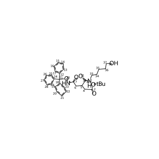 CC(C)(C)OC(=O)CC(CC(=O)NOC(c1ccccc1)(c1ccccc1)c1ccccc1)C(=O)NCCCCCO